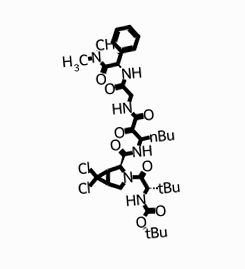 CCCCC(NC(=O)[C@@H]1C2C(CN1C(=O)[C@@H](NC(=O)OC(C)(C)C)C(C)(C)C)C2(Cl)Cl)C(=O)C(=O)NCC(=O)N[C@H](C(=O)N(C)C)c1ccccc1